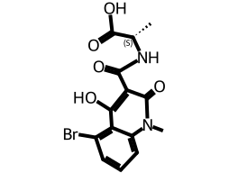 C[C@H](NC(=O)c1c(O)c2c(Br)cccc2n(C)c1=O)C(=O)O